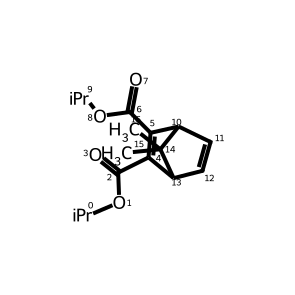 CC(C)OC(=O)C1=C(C(=O)OC(C)C)C2C=CC1C2(C)C